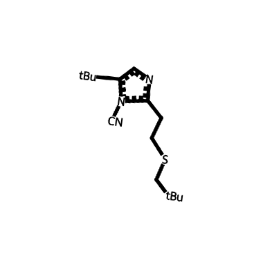 CC(C)(C)CSCCc1ncc(C(C)(C)C)n1C#N